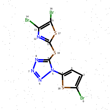 Brc1ccc(-n2nnnc2Sc2nc(Br)c(Br)s2)s1